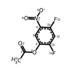 CC(=O)Oc1cc([N+](=O)[O-])c(F)cc1F